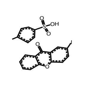 Cc1ccc(S(=O)(=O)O)cc1.O=c1c2ccccc2oc2ccc(I)cc12